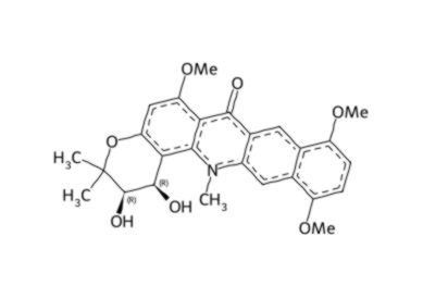 COc1ccc(OC)c2cc3c(cc12)c(=O)c1c(OC)cc2c(c1n3C)[C@@H](O)[C@@H](O)C(C)(C)O2